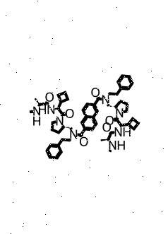 CN[C@@H](C)C(=O)N[C@H](C(=O)N1CCC[C@H]1CN(CCc1ccccc1)C(=O)c1ccc2cc(C(=O)N(CCc3ccccc3)C[C@@H]3CCCN3C(=O)[C@@H](NC(=O)[C@H](C)NC)C3CCC3)ccc2c1)C1CCC1